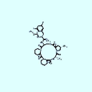 C[C@H]1C[C@H]2C(=O)O[C@@H](C)[C@H](NC(=O)[C@H](Cc3cc(F)cc(F)c3)NC(=O)OC(C)(C)C)C(=O)N3CCCC[C@H]3C(=O)N3CCCC[C@H]3C(=O)N[C@@H](C)C(=O)N2C1